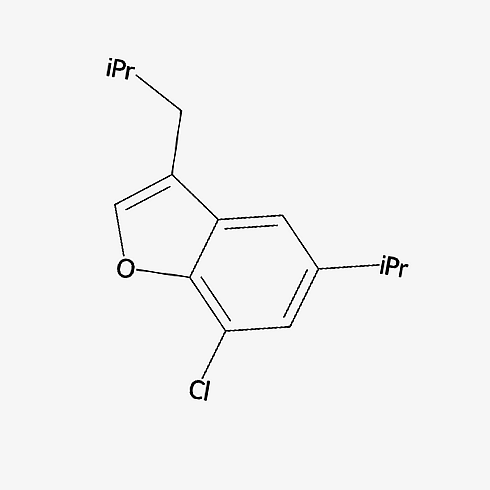 CC(C)Cc1coc2c(Cl)cc(C(C)C)cc12